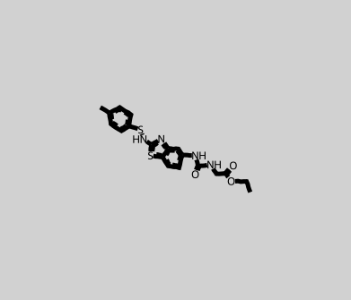 CCOC(=O)CNC(=O)Nc1ccc2sc(NSc3ccc(C)cc3)nc2c1